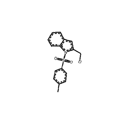 Cc1ccc(S(=O)(=O)n2c(CCl)cc3ccccc32)cc1